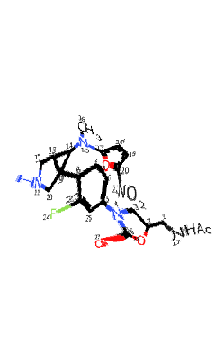 CC(=O)NCC1CN(C2=CCC(C34CNCC3C4N(C)c3ccc([N+](=O)[O-])o3)C(F)=C2)C(=O)O1